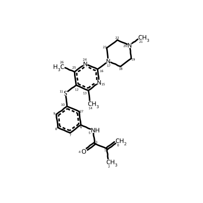 C=C(C)C(=O)Nc1cccc(Sc2c(C)nc(N3CCN(C)CC3)nc2C)c1